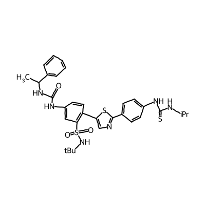 CC(C)NC(=S)Nc1ccc(-c2ncc(-c3ccc(NC(=O)NC(C)c4ccccc4)cc3S(=O)(=O)NC(C)(C)C)s2)cc1